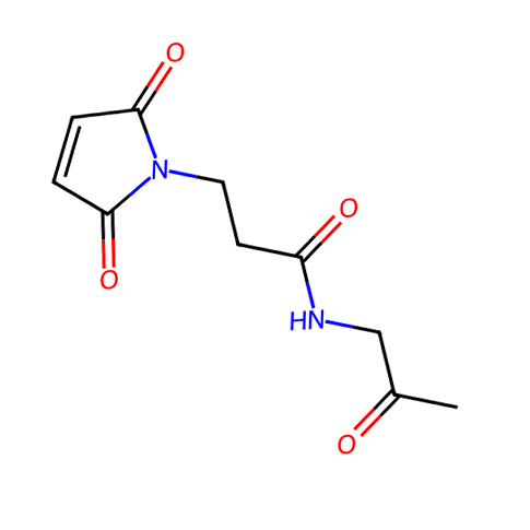 CC(=O)CNC(=O)CCN1C(=O)C=CC1=O